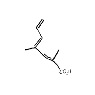 C=CC=C(C)C=C(C)C(=O)O